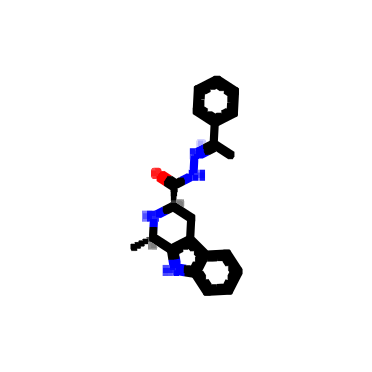 C/C(=N\NC(=O)[C@@H]1Cc2c([nH]c3ccccc23)[C@H](C)N1)c1ccccc1